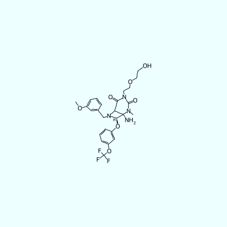 COc1cccc(CN2C3C(=O)N(CCOCCO)C(=O)N(C)C3(N)[C@H]2Oc2cccc(OC(F)(F)F)c2)c1